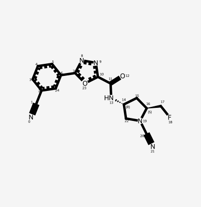 N#Cc1cccc(-c2nnc(C(=O)N[C@@H]3C[C@@H](CF)N(C#N)C3)o2)c1